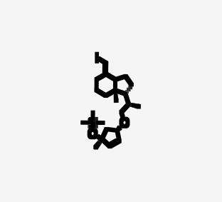 C[C@@H](CO[C@H]1C=C[C@](C)(O[Si](C)(C)C)C1)[C@H]1CCC2C(=CI)CCC[C@]21C